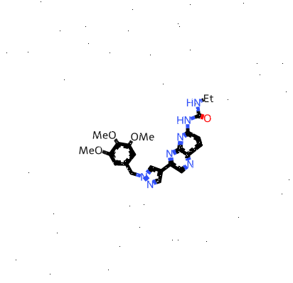 CCNC(=O)Nc1ccc2ncc(-c3cnn(Cc4cc(OC)c(OC)c(OC)c4)c3)nc2n1